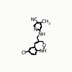 Cc1cc(NC/C2=C/c3cc(Cl)ccc3NCOC2)ncc1C#N